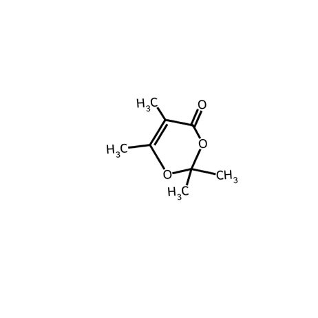 CC1=C(C)C(=O)OC(C)(C)O1